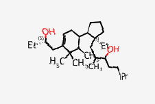 CC[C@H](O)CC1=CCC(C2CCC[C@@]2(CC)CC(C)C(O)CCC(C)C)C(C)C1(C)C